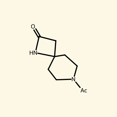 [CH2]C(=O)N1CCC2(CC1)CC(=O)N2